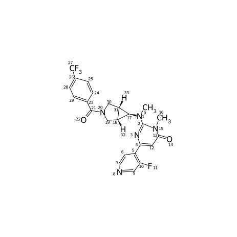 CN(c1nc(-c2ccncc2F)cc(=O)n1C)[C@H]1[C@@H]2CN(C(=O)c3ccc(C(F)(F)F)cc3)C[C@@H]21